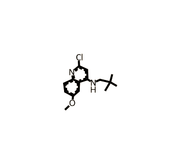 COc1ccc2nc(Cl)cc(NCC(C)(C)C)c2c1